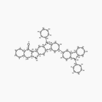 O=c1c2ccccc2sc2nc3cc4c5cc(-c6ccc7c(c6)c6ccccc6n7-c6ccccc6)ccc5n(-c5ccccc5)c4cc3n12